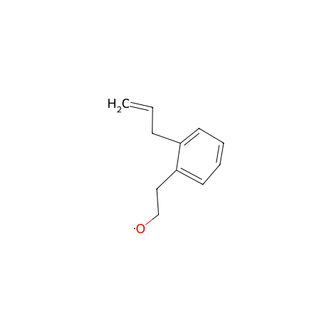 C=CCc1ccccc1CC[O]